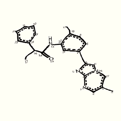 Cc1cnc2nc(-c3ccc(C)c(NC(=O)C(C)c4ccccc4)c3)cn2c1